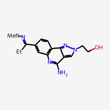 CC/C(=N\NC)c1ccc2c(c1)nc(N)c1cn(CCO)nc12